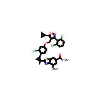 COC(=O)c1cc(OC)c2nc(C3(C)CC3c3ccc(OCc4c(-c5c(Cl)cccc5Cl)noc4C4CC4)cc3Cl)sc2c1